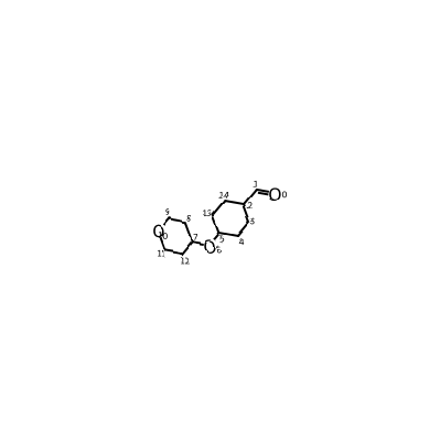 O=CC1CCC(OC2CCOCC2)CC1